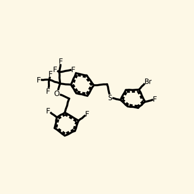 Fc1ccc(SCc2ccc(C(OCc3c(F)cccc3F)(C(F)(F)F)C(F)(F)F)cc2)cc1Br